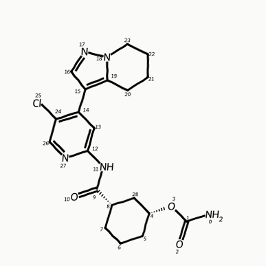 NC(=O)O[C@@H]1CCC[C@H](C(=O)Nc2cc(-c3cnn4c3CCCC4)c(Cl)cn2)C1